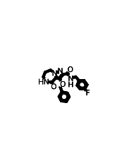 O=C(NCc1ccc(F)cc1)c1nn2c(c1OCc1ccccc1)C(=O)NCCC2